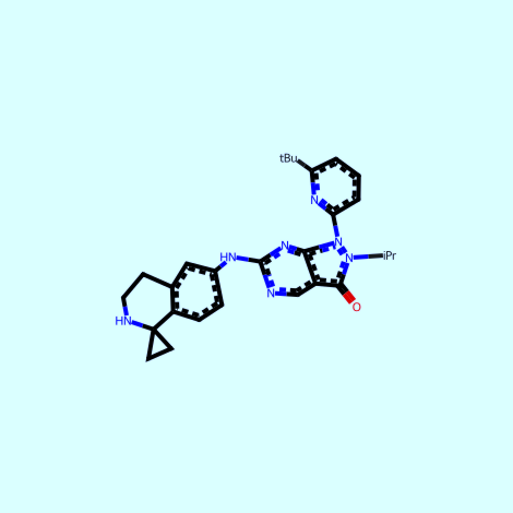 CC(C)n1c(=O)c2cnc(Nc3ccc4c(c3)CCNC43CC3)nc2n1-c1cccc(C(C)(C)C)n1